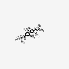 COc1cc(N2CCC(C(=O)OC(C)(C)C)CC2N)c(S(C)(=O)=O)cc1C(=O)N=C(N)N